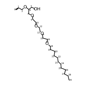 C=CCOC(CO)COCCOCCOCCOCCCCCCCCCCCC